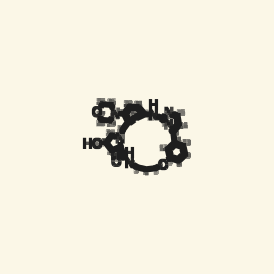 O=C1NCCCOc2cccc(c2)-c2ccnc(n2)Nc2ccc(N3CCOCC3)c(c2)CN2C[C@H](O)C[C@@H]12